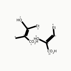 CC/C(O)=C(/C)C(=O)O.CC/C=C(\O)C(=O)O